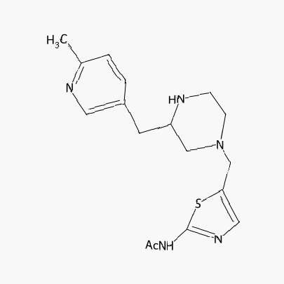 CC(=O)Nc1ncc(CN2CCNC(Cc3ccc(C)nc3)C2)s1